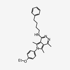 CCOc1ccc(-n2c(C)c3c(C)nnc(NCCCCc4ccccc4)c3c2C)cc1